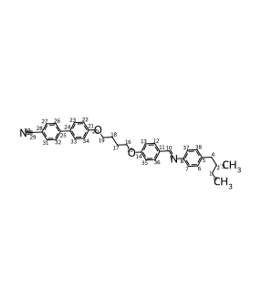 CC[C@@H](C)Cc1ccc(/N=C/c2ccc(OCCCCOc3ccc(-c4ccc(C#N)cc4)cc3)cc2)cc1